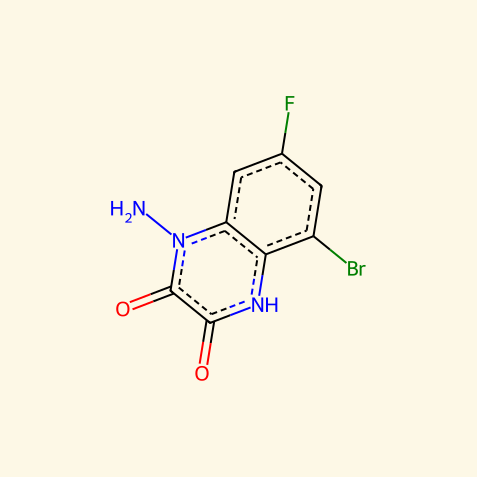 Nn1c(=O)c(=O)[nH]c2c(Br)cc(F)cc21